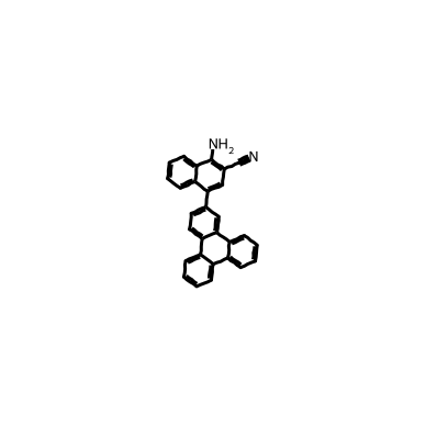 N#Cc1cc(-c2ccc3c4ccccc4c4ccccc4c3c2)c2ccccc2c1N